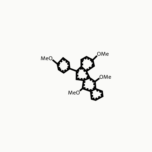 COc1ccc(-c2cc3c(OC)c4ccccc4c(OC)c3c3cc(OC)ccc23)cc1